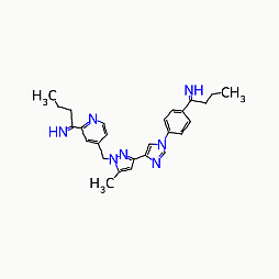 CCCC(=N)c1ccc(-n2cnc(-c3cc(C)n(Cc4ccnc(C(=N)CCC)c4)n3)c2)cc1